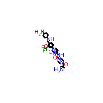 CC(C)(N)C(=O)N1CCN(C(=O)Nc2ccn(-c3ccc(CN[C@H]4CC[C@H](N)CC4)c(OC(F)(F)F)c3)c(=O)n2)CC1